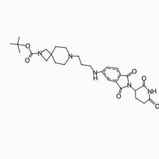 CC(C)(C)OC(=O)N1CC2(CCN(CCCNc3ccc4c(c3)C(=O)N(C3CCC(=O)NC3=O)C4=O)CC2)C1